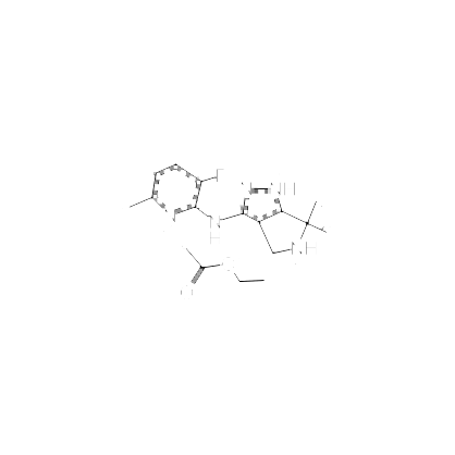 CCOC(C)=O.Cc1ccc(F)c(Nc2n[nH]c3c2CNC3(C)C)n1